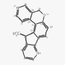 CC1c2cccnc2-c2ccc3c(c21)-c1ccncc1CO3